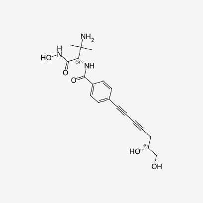 CC(C)(N)[C@H](NC(=O)c1ccc(C#CC#CC[C@@H](O)CO)cc1)C(=O)NO